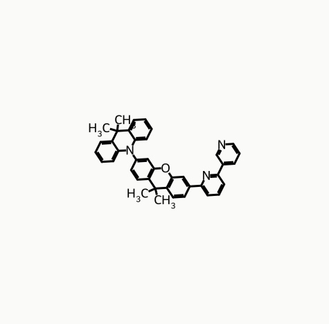 CC1(C)c2ccc(-c3cccc(-c4cccnc4)n3)cc2Oc2cc(N3c4ccccc4C(C)(C)c4ccccc43)ccc21